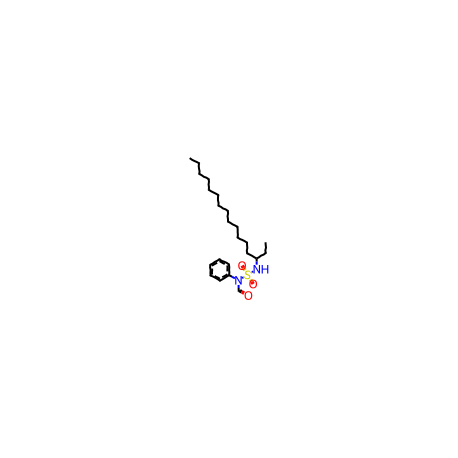 CCCCCCCCCCCCCC(CC)NS(=O)(=O)N(C=O)c1ccccc1